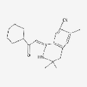 Cc1cc2c(cc1C#N)C(=CC(=O)C1CCCCC1)NC(C)(C)C2